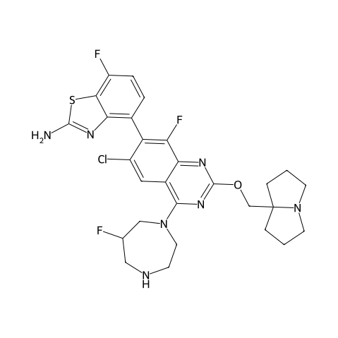 Nc1nc2c(-c3c(Cl)cc4c(N5CCNCC(F)C5)nc(OCC56CCCN5CCC6)nc4c3F)ccc(F)c2s1